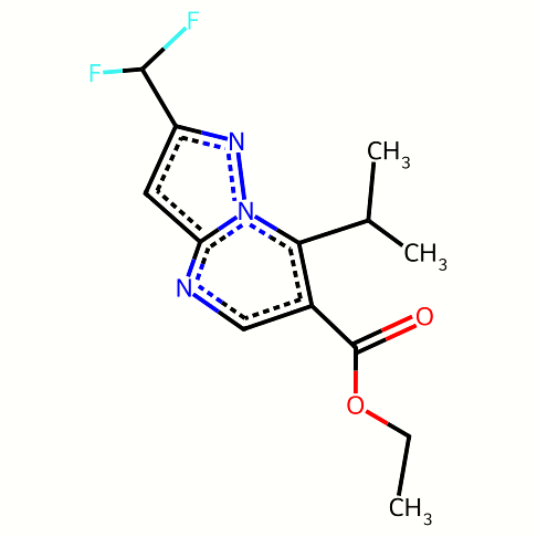 CCOC(=O)c1cnc2cc(C(F)F)nn2c1C(C)C